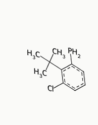 CC(C)(C)c1c(P)cccc1Cl